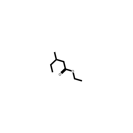 [CH2]C(CC)CC(=O)OCC